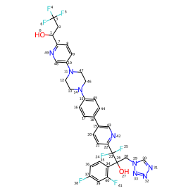 OC(CC(F)(F)F)c1ccc(N2CCN(c3ccc(-c4ccc(C(F)(F)C(O)(Cn5cnnn5)c5ccc(F)cc5F)nc4)cc3)CC2)cn1